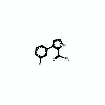 NC(=O)c1[nH]ccc1-c1cccc(F)c1